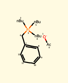 CC(=O)[O-].CCCC[P+](CCCC)(CCCC)Cc1ccccc1